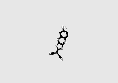 Cc1ccc2nc3c(nc2c1)SC(=C(C#N)C#N)S3